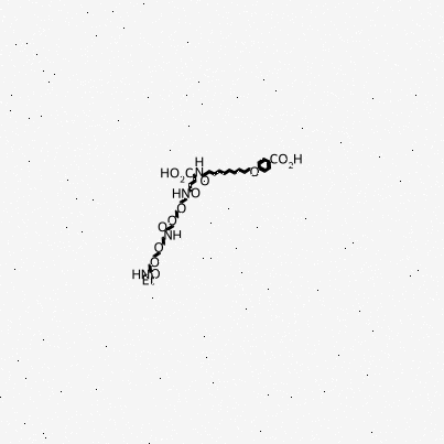 CCNC(=O)COCCOCCNC(=O)COCCOCCNC(=O)CC[C@H](NC(=O)CCCCCCCCCOc1ccc(C(=O)O)cc1)C(=O)O